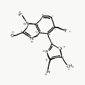 Cc1oc(-c2c(F)ccc3c2nc(Cl)n3C(C)C)nc1C(C)C